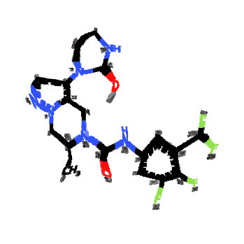 C[C@H]1Cn2ncc(N3CCNC3=O)c2CN1C(=O)Nc1cc(F)c(F)c(C(F)F)c1